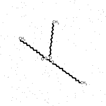 CCCCCCCCCCCCCCCCCCOCC(COC(=O)CCCCCCCCCCCCCCC)OCCCCCCCCCCCCCCCCCC